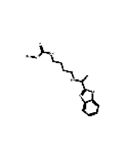 CC(NCCCCNC(=O)OC(C)(C)C)c1nc2ccccc2[nH]1